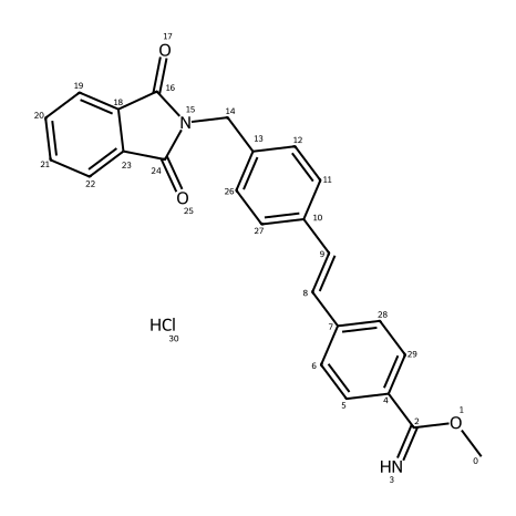 COC(=N)c1ccc(C=Cc2ccc(CN3C(=O)c4ccccc4C3=O)cc2)cc1.Cl